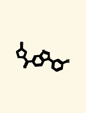 O=C1CCN(C(=O)c2ccc3c(c2)ncn3-c2cccc(Cl)c2)C1